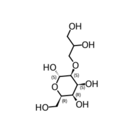 OCC(O)CO[C@H]1[C@@H](O)[C@@H](O)[C@@H](CO)O[C@@H]1O